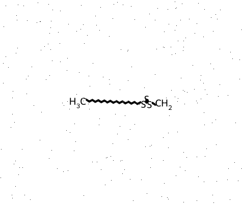 C=CCSC(=S)SCCCCCCCCCCCCCCCCCCCC